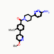 CCC(C)Oc1ccc(-c2ccc(C(=O)N3CCC(c4ccc(N)nn4)CC3)cc2OC)cn1